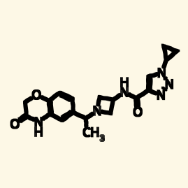 CC(c1ccc2c(c1)NC(=O)CO2)N1CC(NC(=O)c2cn(C3CC3)nn2)C1